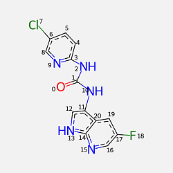 O=C(Nc1ccc(Cl)cn1)Nc1c[nH]c2ncc(F)cc12